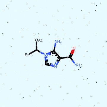 CCC(OC(C)=O)n1cnc(C(N)=O)c1N